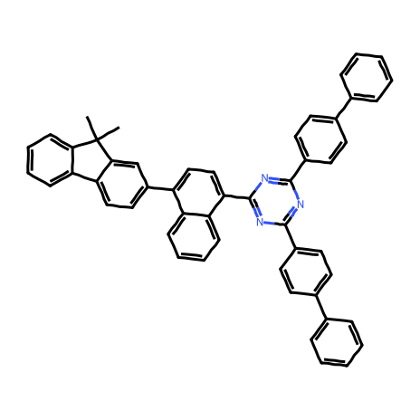 CC1(C)c2ccccc2-c2ccc(-c3ccc(-c4nc(-c5ccc(-c6ccccc6)cc5)nc(-c5ccc(-c6ccccc6)cc5)n4)c4ccccc34)cc21